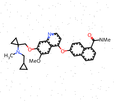 CNC(=O)c1cccc2cc(Oc3ccnc4cc(OCC5(N(C)CC6CC6)CC5)c(OC)cc34)ccc12